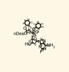 CCCCCCCCCCOC(=O)[C@H](Cc1ccccc1)N[P@](=O)(OC[C@@]1(C)O[C@@H](n2cnc3c(N)nc(F)nc32)C[C@@H]1O)Oc1ccccc1